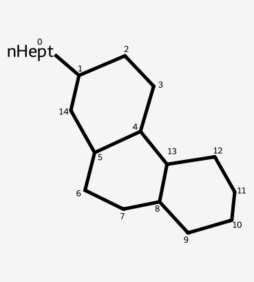 CCCCCCCC1CCC2C(CCC3CCCCC32)C1